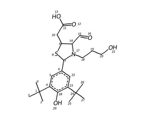 CC(C)(C)c1cc(C2SC(CC(=O)O)C(C=O)N2CCCO)cc(C(C)(C)C)c1O